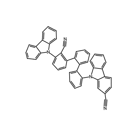 N#Cc1ccc2c3ccccc3n(-c3ccccc3-c3ccccc3-c3cccc(-n4c5ccccc5c5ccccc54)c3C#N)c2c1